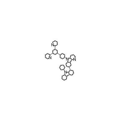 c1ccc(-n2c3ccccc3c3cccc(-c4ccc5c(c4)c4ncccc4n5-c4ccc(-c5cc(-c6ccccn6)cc(-c6ccccn6)c5)cc4)c32)cc1